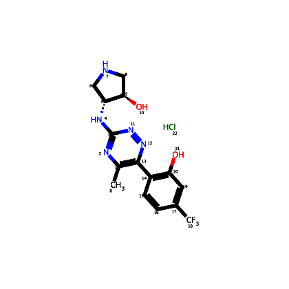 Cc1nc(N[C@@H]2CNC[C@H]2O)nnc1-c1ccc(C(F)(F)F)cc1O.Cl